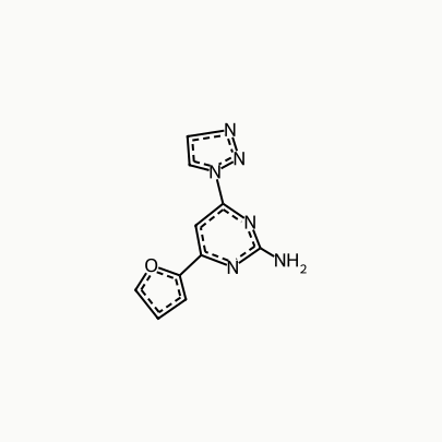 Nc1nc(-c2ccco2)cc(-n2ccnn2)n1